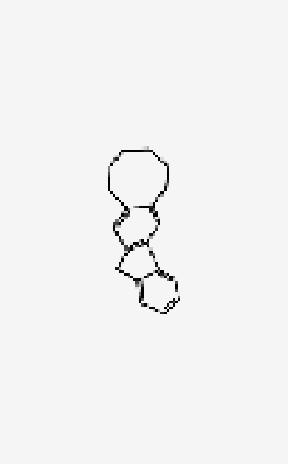 [c]1c2c(cc3c1Cc1ccccc1-3)CCCCCC2